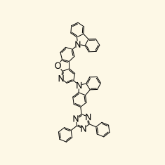 c1ccc(-c2nc(-c3ccccc3)nc(-c3ccc4c(c3)c3ccccc3n4-c3cnc4oc5ccc(-n6c7ccccc7c7ccccc76)cc5c4c3)n2)cc1